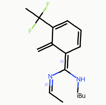 C=c1c(C(C)(F)F)ccc/c1=C(/N=C\C)NC(C)CC